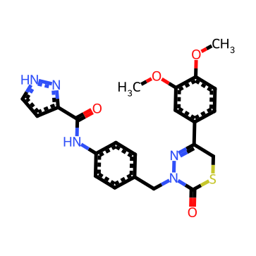 COc1ccc(C2=NN(Cc3ccc(NC(=O)c4cc[nH]n4)cc3)C(=O)SC2)cc1OC